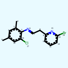 Cc1cc(C)c(N=CCc2cccc(Br)n2)c(Cl)c1